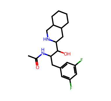 CC(=O)NC(Cc1cc(F)cc(F)c1)C(O)C1CC2CCCCC2CN1